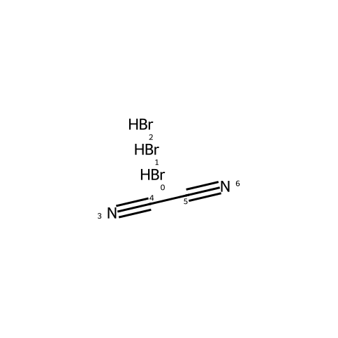 Br.Br.Br.N#CC#N